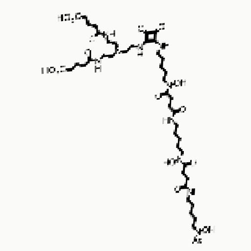 CC(=O)N(O)CCCCCNC(=O)CCC(=O)N(O)CCCCCNC(=O)CCC(=O)N(O)CCCCCNc1c(NCCN(CCNC(=O)CCCC(=O)O)CCNC(=O)CCCC(=O)O)c(=O)c1=O